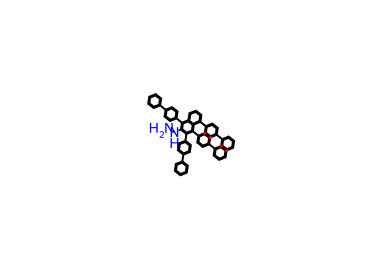 NNc1c(-c2ccc(-c3ccccc3)cc2)c(-c2ccc(-c3ccccc3)cc2)c2c(-c3ccc(-c4ccccc4)cc3)cccc2c1-c1ccc(-c2ccccc2)cc1